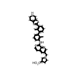 Cc1c(Nc2nccc3cc(CN4CCC(C(=O)O)C4)cnc23)cccc1-c1cccc(-c2nc3c(s2)CNCC3)c1C